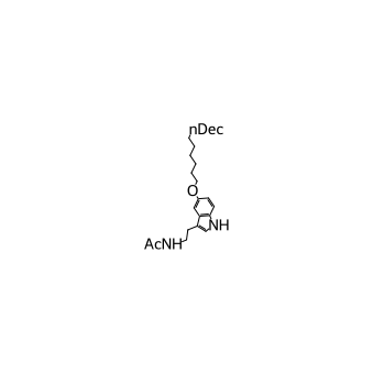 CCCCCCCCCCCCCCCCOc1ccc2[nH]cc(CCNC(C)=O)c2c1